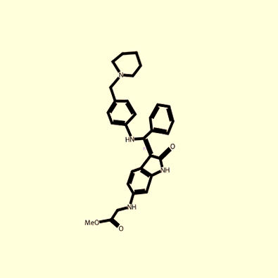 COC(=O)CNc1ccc2c(c1)NC(=O)/C2=C(/Nc1ccc(CN2CCCCC2)cc1)c1ccccc1